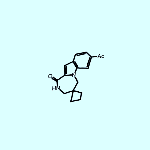 CC(=O)c1ccc2cc3n(c2c1)CC1(CCC1)CNC3=O